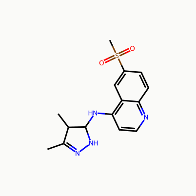 CC1=NNC(Nc2ccnc3ccc(S(C)(=O)=O)cc23)C1C